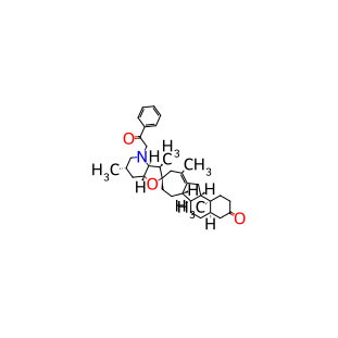 CC1=C2C[C@H]3[C@@H](CC[C@@H]4CC(=O)CC[C@@]43C)[C@@H]2CC[C@@]2(C1)O[C@@H]1C[C@H](C)CN(CC(=O)c3ccccc3)[C@H]1[C@H]2C